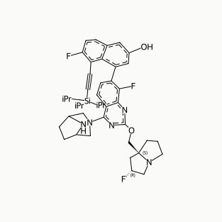 CC(C)[Si](C#Cc1c(F)ccc2cc(O)cc(-c3ccc4c(N5CC6CCC(C5)N6)nc(OC[C@@]56CCCN5C[C@H](F)C6)nc4c3F)c12)(C(C)C)C(C)C